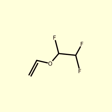 C=COC(F)C(F)F